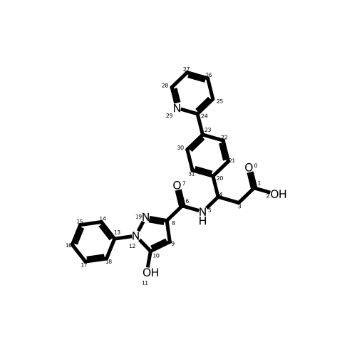 O=C(O)CC(NC(=O)c1cc(O)n(-c2ccccc2)n1)c1ccc(-c2ccccn2)cc1